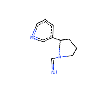 N=CN1CCCC1c1cccnc1